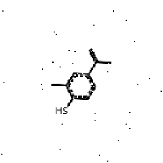 C=C(C)c1ccc(S)c(C)c1